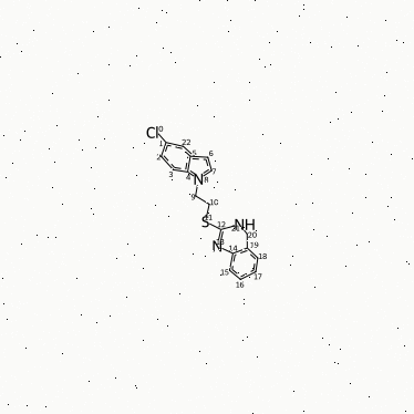 Clc1ccc2c(ccn2CCSC2=Nc3ccccc3CN2)c1